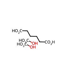 O=C(O)CCCCC(=O)O.O=C(O)O.O=C(O)O